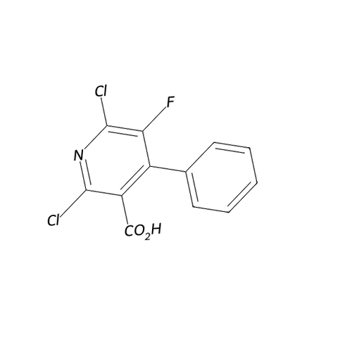 O=C(O)c1c(Cl)nc(Cl)c(F)c1-c1ccccc1